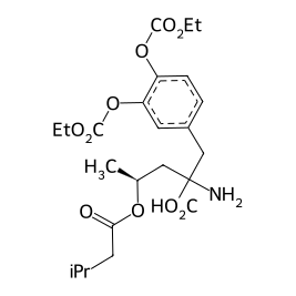 CCOC(=O)Oc1ccc(CC(N)(C[C@H](C)OC(=O)CC(C)C)C(=O)O)cc1OC(=O)OCC